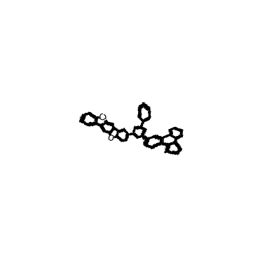 c1ccc(-c2cc(-c3ccc4oc5cc6c(cc5c4c3)oc3ccccc36)cc(-c3ccc4c5ccccc5c5ccccc5c4c3)c2)cc1